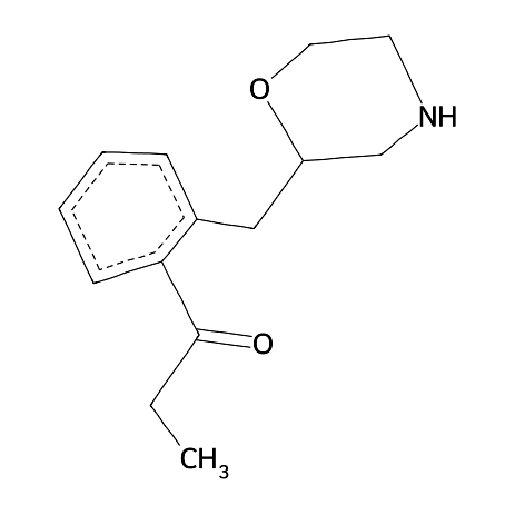 CCC(=O)c1ccccc1CC1CNCCO1